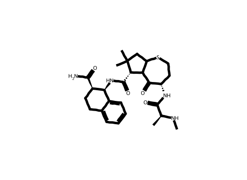 CN[C@@H](C)C(=O)N[C@H]1CCSC2CC(C)(C)[C@@H](C(=O)N[C@H]3c4ccccc4CC[C@H]3C(N)=O)C2C1=O